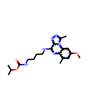 COc1cc(C)c2nc(NCCCCNC(=O)OC(C)C)c3nnc(C)n3c2c1